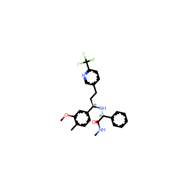 CNC(=O)[C@H](N[C@H](CCc1ccc(C(F)(F)F)nc1)c1ccc(C)c(OC)c1)c1ccccc1